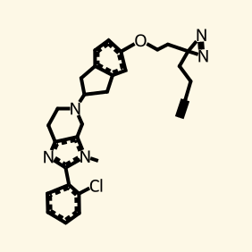 C#CCCC1(CCOc2ccc3c(c2)CC(N2CCc4nc(-c5ccccc5Cl)n(C)c4C2)C3)N=N1